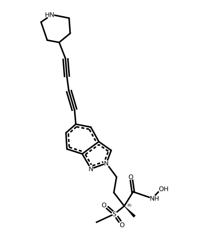 C[C@@](CCn1cc2cc(C#CC#CC3CCNCC3)ccc2n1)(C(=O)NO)S(C)(=O)=O